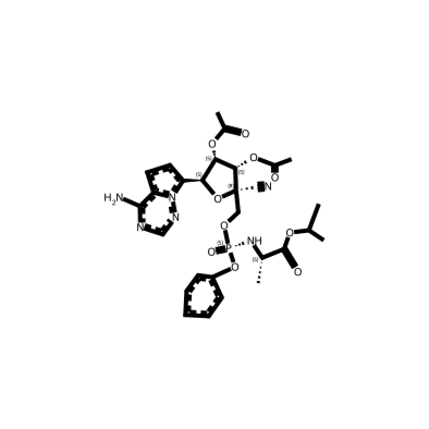 CC(=O)O[C@H]1[C@H](c2ccc3c(N)ncnn23)O[C@](C#N)(CO[P@@](=O)(N[C@@H](C)C(=O)OC(C)C)Oc2ccccc2)[C@H]1OC(C)=O